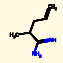 C=CCC(C)C(=N)N